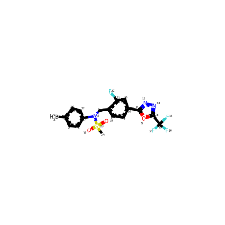 Bc1ccc(N(Cc2ccc(-c3nnc(C(F)(F)F)o3)cc2F)S(C)(=O)=O)cc1